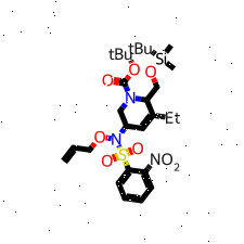 C=CCON(C1C=C(CC)C(CO[Si](C)(C)C(C)(C)C)N(C(=O)OC(C)(C)C)C1)S(=O)(=O)c1ccccc1[N+](=O)[O-]